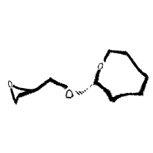 C1CC[C@H](OCC2CO2)OC1